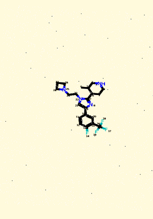 CC1CNCCC1c1nc(-c2ccc(F)c(C(F)(F)F)c2)cn1CCN1CCC1